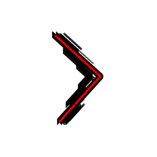 O.O.O.O.O.O.O.O.O.O.O.O.O.O.O.O.O.O.O.O.O.O.O.O.O.O.O.O.O.O.[Na+].[Na+].[Na+].[Na+].[Na+].[Na+].[Na+].[Na+].[Na+].[Na+].[Na+].[Na+].[Na+].[Na+].[Na+].[Na+].[Na+].[Na+].[Na+].[Na+].[Na+].[Na+].[Na+].[Na+].[Na+].[Na+].[Na+].[Na+].[Na+].[Na+].[Na+].[Na+].[Na+].[Na+].[Na+].[Na+].[Na+].[Na+].[Na+].[Na+].[Na+].[Na+].[Na+].[Na+].[Na+].[OH-].[OH-].[OH-].[OH-].[OH-].[OH-].[OH-].[OH-].[OH-].[OH-].[OH-].[OH-].[OH-].[OH-].[OH-].[OH-].[OH-].[OH-].[OH-].[OH-].[OH-].[OH-].[OH-].[OH-].[OH-].[OH-].[OH-].[OH-].[OH-].[OH-].[OH-].[OH-].[OH-].[OH-].[OH-].[OH-].[OH-].[OH-].[OH-].[OH-].[OH-].[OH-].[OH-].[OH-].[OH-]